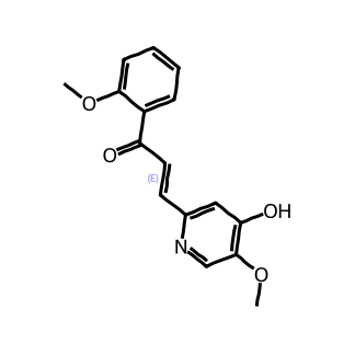 COc1cnc(/C=C/C(=O)c2ccccc2OC)cc1O